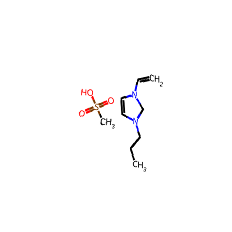 C=CN1C=CN(CCC)C1.CS(=O)(=O)O